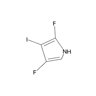 Fc1c[nH]c(F)c1I